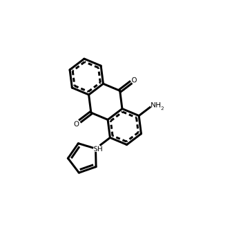 Nc1ccc([SH]2C=CC=C2)c2c1C(=O)c1ccccc1C2=O